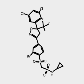 O=S(=O)(CS(=O)(=O)c1ccc(C2=NOC(c3cc(Cl)cc(Cl)c3)(C(F)(F)F)C2)cc1Br)NC1CC1